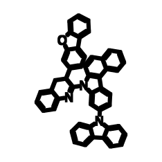 c1ccc2c(c1)CC(c1ccc3c(c1)oc1ccccc13)C(n1c3cc(-n4c5ccccc5c5ccccc54)ccc3c3c4ccccc4ccc31)=N2